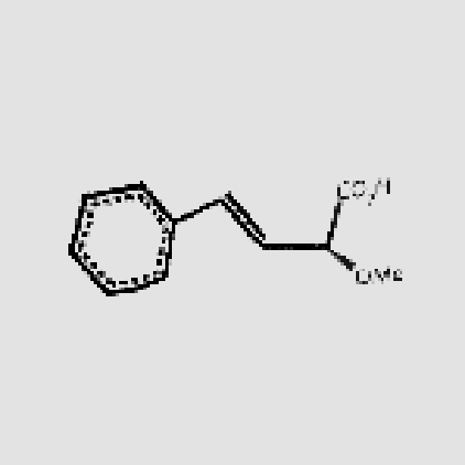 CO[C@@H](C=Cc1ccccc1)C(=O)O